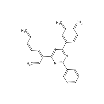 C=C/C=C\C=C(/C=C)c1nc(C(/C=C\C=C)=C/C=C)nc(-c2ccccc2)n1